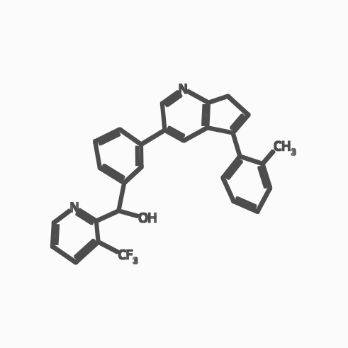 Cc1ccccc1C1=CCc2ncc(-c3cccc(C(O)c4ncccc4C(F)(F)F)c3)cc21